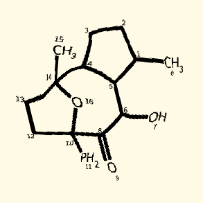 CC1CCC2C1C(O)C(=O)C1(P)CCC2(C)O1